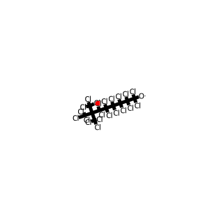 [O]C(Cl)(Cl)C(Cl)(Cl)C(Cl)(Cl)C(Cl)(Cl)C(Cl)(Cl)C(Cl)(Cl)C(C(Cl)(Cl)Cl)(C(Cl)(Cl)Cl)C(Cl)(Cl)Cl